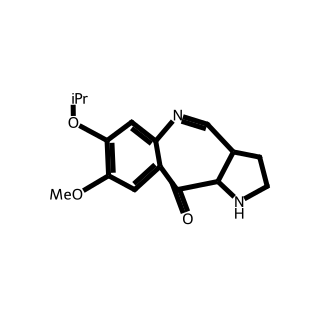 COc1cc2c(cc1OC(C)C)N=CC1CCNC1C2=O